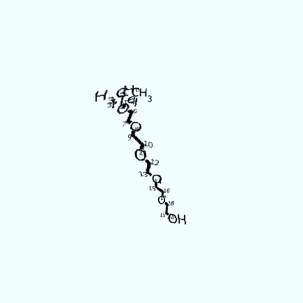 C[TeH](C)(I)(I)OCCOCCOCCOCCOCCO